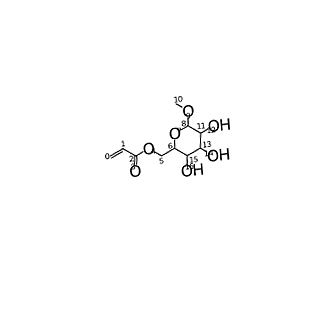 C=CC(=O)OCC1OC(OC)C(O)C(O)C1O